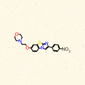 O=[N+]([O-])c1ccc(-c2cn3c(n2)sc2cc(OCCN4CCOCC4)ccc23)cc1